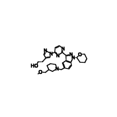 COCC1CCCN(Cc2ccc3c(c2)c(-c2nccc(-n4cc(CCO)cn4)n2)nn3C2CCCCO2)C1